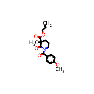 C=CCOC(=O)C1(C)CCCN(C(=O)c2ccc(OC)cc2)C1=O